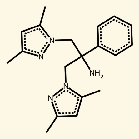 Cc1cc(C)n(CC(N)(Cn2nc(C)cc2C)c2ccccc2)n1